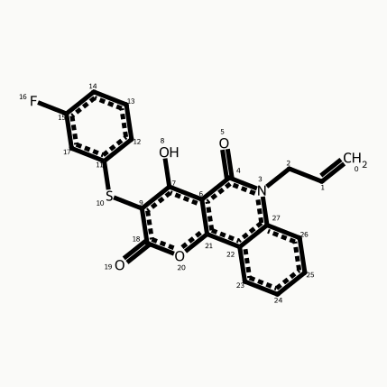 C=CCn1c(=O)c2c(O)c(Sc3cccc(F)c3)c(=O)oc2c2ccccc21